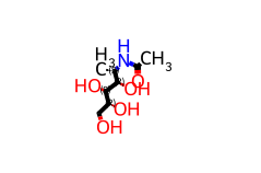 CC(=O)N[C@@H](C)[C@@H](O)[C@H](O)[C@H](O)CO